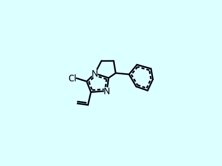 C=Cc1nc2n(c1Cl)CCC2c1ccccc1